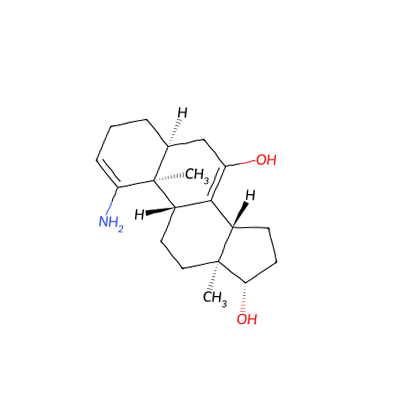 C[C@]12CC[C@H]3C(=C(O)C[C@@H]4CCC=C(N)[C@@]43C)[C@@H]1CC[C@@H]2O